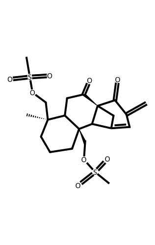 C=C1C=C2C[C@@]3(C(=O)CC4[C@](C)(COS(C)(=O)=O)CCC[C@@]4(COS(C)(=O)=O)C23)C1=O